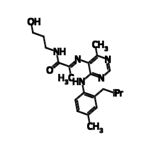 C/C(=N\c1c(C)ncnc1Nc1ccc(C)cc1CC(C)C)C(=O)NCCCO